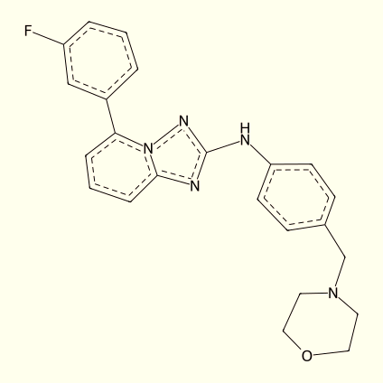 Fc1cccc(-c2cccc3nc(Nc4ccc(CN5CCOCC5)cc4)nn23)c1